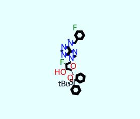 CN(Cc1cccc(F)c1)c1ncnc2c1ncn2[C@@H]1O[C@H](CO[Si](c2ccccc2)(c2ccccc2)C(C)(C)C)[C@@H](O)[C@@H]1F